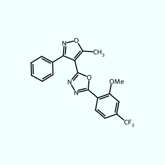 COc1cc(C(F)(F)F)ccc1-c1nnc(-c2c(-c3ccccc3)noc2C)o1